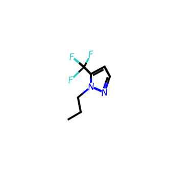 CCCn1nccc1C(F)(F)F